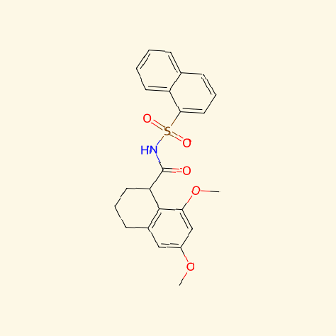 COc1cc2c(c(OC)c1)C(C(=O)NS(=O)(=O)c1cccc3ccccc13)CCC2